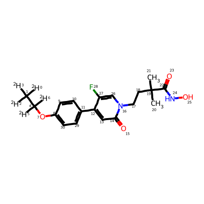 [2H]C([2H])([2H])C([2H])([2H])Oc1ccc(-c2cc(=O)n(CCC(C)(C)C(=O)NO)cc2F)cc1